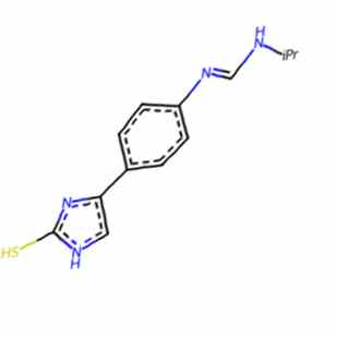 CC(C)N/C=N/c1ccc(-c2c[nH]c(S)n2)cc1